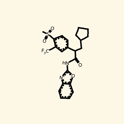 CS(=O)(=O)c1ccc(C(CC2CCCC2)C(=O)Nc2nc3ccccc3o2)cc1C(F)(F)F